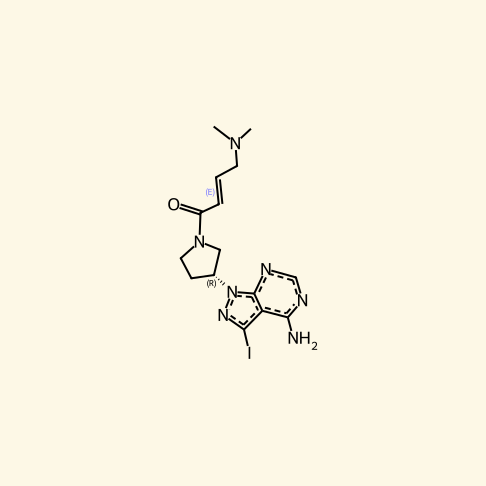 CN(C)C/C=C/C(=O)N1CC[C@@H](n2nc(I)c3c(N)ncnc32)C1